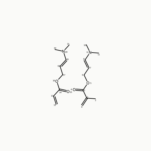 C=C(C)C(=O)OCC=CN(C)C.C=CC(=O)OCC=CN(C)C